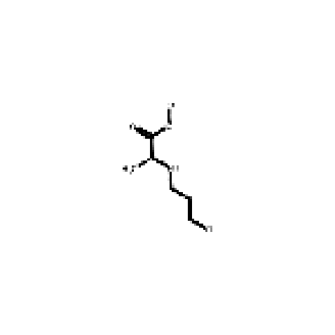 CCOC(=O)[C@H](C)NCCCCl